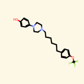 Oc1ccc(N2CCN(CCCCCCc3ccc(OC(F)(F)F)cc3)CC2)cc1